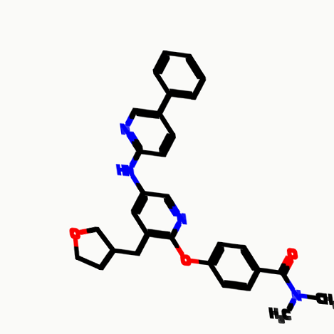 CN(C)C(=O)c1ccc(Oc2ncc(Nc3ccc(-c4ccccc4)cn3)cc2CC2CCOC2)cc1